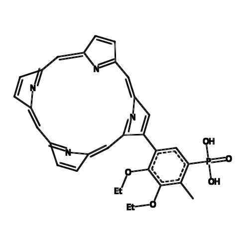 CCOc1c(C2=CC3=CC4=NC(=CC5=NC(=CC6=NC(=CC2=N3)C=C6)C=C5)C=C4)cc(P(=O)(O)O)c(C)c1OCC